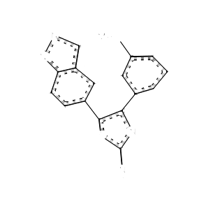 COc1cccc(-c2nc(N)sc2-c2ccc3[nH]ncc3c2)c1